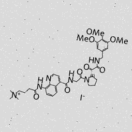 COc1cc(CNC(=O)C(=O)[C@@H]2CCCN2C(=O)CNC(=O)c2ccnc3c(NC(=O)CCC[N+](C)(C)C)cccc23)cc(OC)c1OC.[I-]